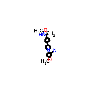 COc1ccc(N2CCC(c3ccc([C@H](C)NC(C)=O)cc3)CC2)c(C#N)c1